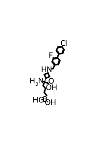 NC(CCCCB(O)O)(C(=O)O)[C@H]1C[C@@H](NCc2ccc(-c3ccc(Cl)cc3)c(F)c2)C1